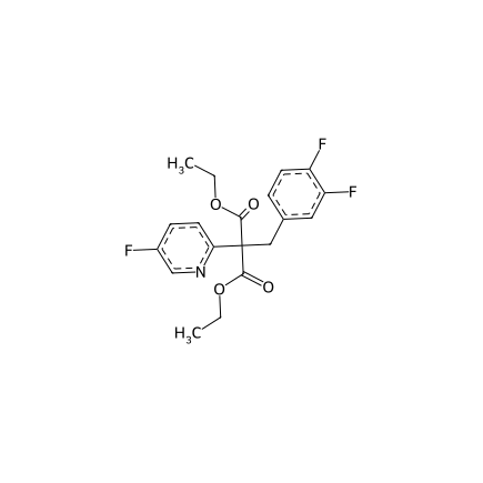 CCOC(=O)C(Cc1ccc(F)c(F)c1)(C(=O)OCC)c1ccc(F)cn1